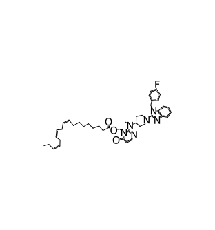 CC/C=C\C/C=C\C/C=C\CCCCCCCC(=O)OCn1c(N(C)C2CCN(c3nc4ccccc4n3Cc3ccc(F)cc3)CC2)nccc1=O